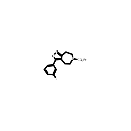 CCOC(=O)N1CCc2noc(-c3cccc(F)c3)c2CC1